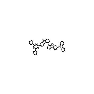 c1ccc(-c2nc(-c3ccccc3)nc(-c3ccc4c(c3)sc3cccc(-c5cccc6c5oc5cc(-n7c8ccccc8c8ccccc87)ccc56)c34)n2)cc1